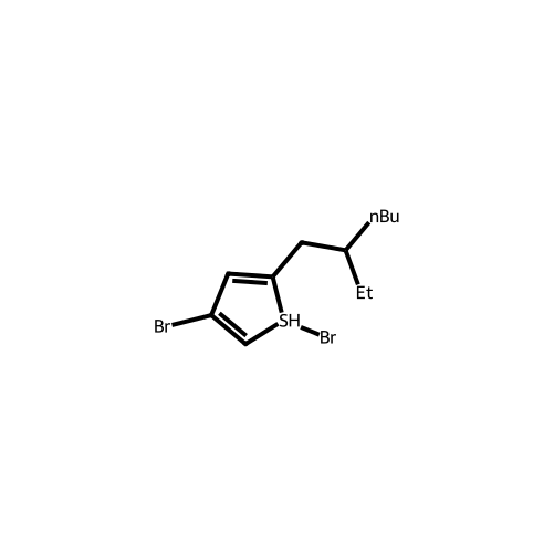 CCCCC(CC)CC1=CC(Br)=C[SH]1Br